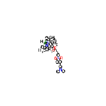 CC1=C2C(C)(C)c3ccccc3C2(C)N2C1=C(c1c(C)cc(OC(=O)CCCc3ccc(N4C(=O)c5cccc6c(-c7ccc(N(c8ccccc8)c8ccccc8)cc7)ccc(c56)C4=O)cc3)cc1C)c1c(C)c3c(n1[B-]2(F)F)-c1ccccc1C3(C)C